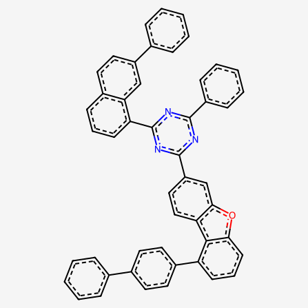 c1ccc(-c2ccc(-c3cccc4oc5cc(-c6nc(-c7ccccc7)nc(-c7cccc8ccc(-c9ccccc9)cc78)n6)ccc5c34)cc2)cc1